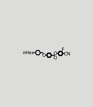 CCCCCCC1CCC(COc2ccc(C(=O)Oc3ccc(C#N)c(F)c3)cc2)CC1